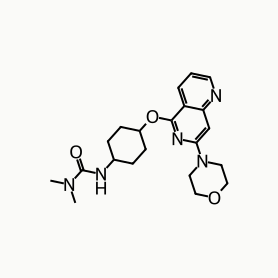 CN(C)C(=O)NC1CCC(Oc2nc(N3CCOCC3)cc3ncccc23)CC1